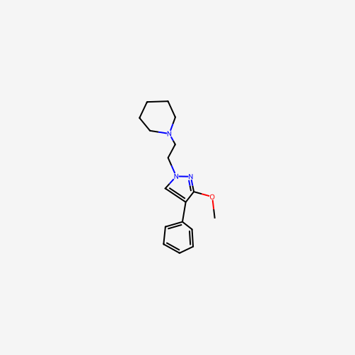 COc1nn(CCN2CCCCC2)cc1-c1ccccc1